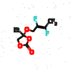 CCC1(OCC(F)=C(F)C(F)(F)F)COC(=O)O1